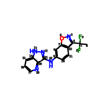 CC(F)(F)c1noc2cc(Nc3n[nH]c4cccnc34)ccc12